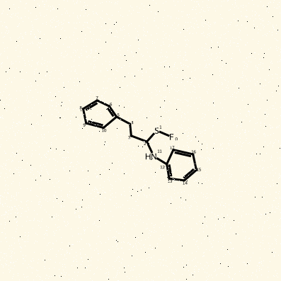 FSC(CCc1ccccc1)Nc1ccccc1